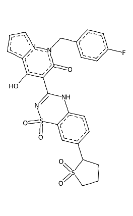 O=c1c(C2=NS(=O)(=O)c3cc(C4CCCS4(=O)=O)ccc3N2)c(O)c2cccn2n1Cc1ccc(F)cc1